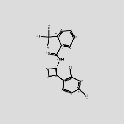 O=C(N[C@H]1CCC1c1ccc(Cl)cc1Cl)c1ccccc1C(F)(F)F